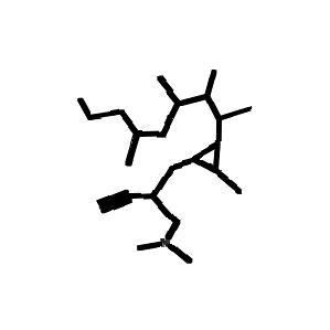 C#CC(CC1C(C)C1C(C)C(C)C(C)CC(C)CCC)CN(C)C